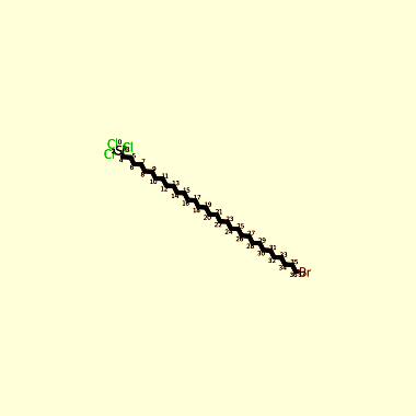 Cl[Si](Cl)(Cl)CCCCCCCCCCCCCCCCCCCCCCCCCCCCCCCCCBr